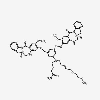 COCCOCCOCCN(CCCC(N)=O)c1cc(COc2cc3c(cc2OC)C(=O)N2c4ccccc4C[C@H]2CN3)cc(COc2cc3c(cc2OC)C(=O)N2c4ccccc4C[C@H]2CN3)c1